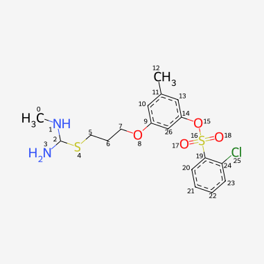 CNC(N)SCCCOc1cc(C)cc(OS(=O)(=O)c2ccccc2Cl)c1